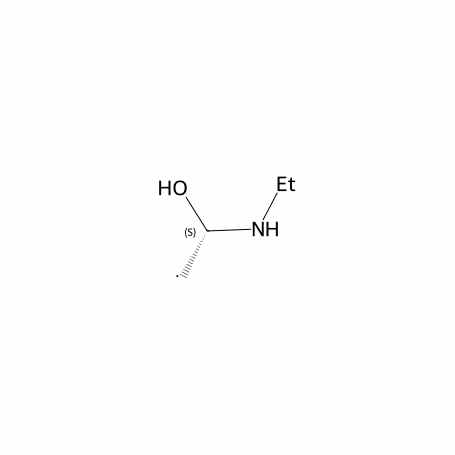 [CH2][C@H](O)NCC